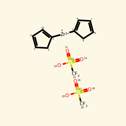 C1=CC[C]([Zr+2][C]2=CC=CC2)=C1.O=S(=O)([O-])C(F)(F)F.O=S(=O)([O-])C(F)(F)F